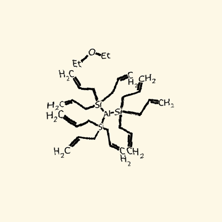 C=CC[Si](CC=C)(CC=C)[Al]([Si](CC=C)(CC=C)CC=C)[Si](CC=C)(CC=C)CC=C.CCOCC